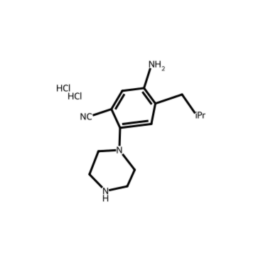 CC(C)Cc1cc(N2CCNCC2)c(C#N)cc1N.Cl.Cl